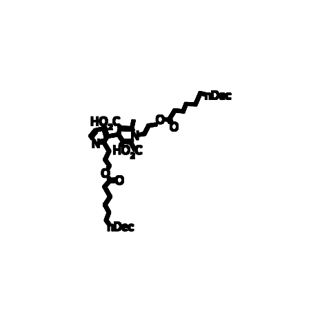 CCCCCCCCCCCCCCCC(=O)OCCCc1ncccc1C1C(C(=O)O)=C(C)N(CCCOC(=O)CCCCCCCCCCCCCCC)C(C)=C1C(=O)O